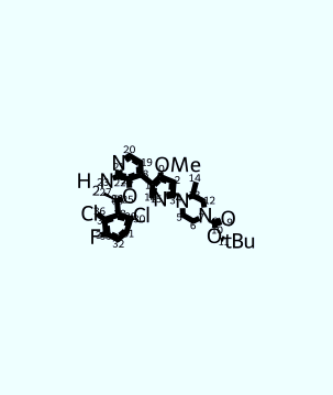 COc1cc(N2CCN(C(=O)OC(C)(C)C)CC2C)ncc1-c1ccnc(N)c1O[C@H](C)c1c(Cl)ccc(F)c1Cl